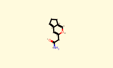 NC(=O)CC1=CC2=CCCC2=CO1